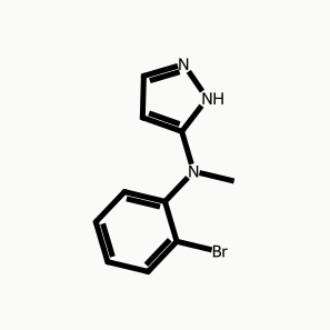 CN(c1ccn[nH]1)c1ccccc1Br